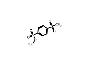 CC(C)(C)OS(=O)(=O)c1ccc(S(C)(=O)=O)cc1